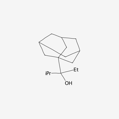 CCC(O)(C(C)C)C12CC3CC(CC(C3)C1)C2